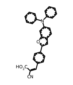 N#CC(=Cc1ccc(-c2cc3ccc(N(c4ccccc4)c4ccccc4)cc3o2)cc1)C(=O)O